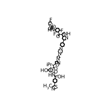 Cc1ncsc1-c1ccc([C@H](CO)NC(=O)[C@@H]2C[C@@H](O)CN2C(=O)C(c2cc(N3CC(N4CCN(c5ccc(-c6cnc7[nH]cc(C(=O)c8c(F)ccc(NS(=O)(=O)N9CC[C@@H](F)C9)c8F)c7c6)cc5)CC4)C3)no2)C(C)C)cc1